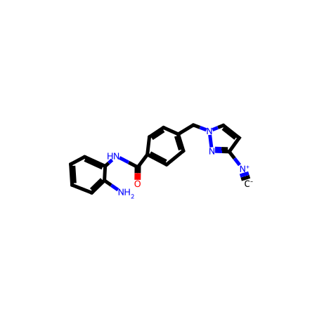 [C-]#[N+]c1ccn(Cc2ccc(C(=O)Nc3ccccc3N)cc2)n1